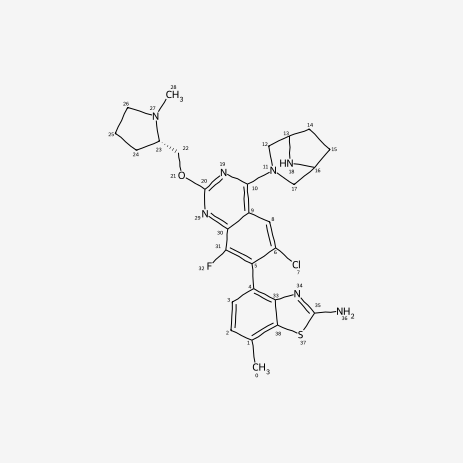 Cc1ccc(-c2c(Cl)cc3c(N4CC5CCC(C4)N5)nc(OC[C@@H]4CCCN4C)nc3c2F)c2nc(N)sc12